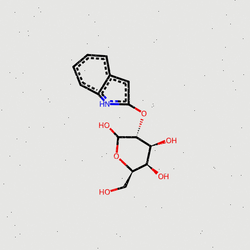 OC[C@H]1OC(O)[C@H](Oc2cc3ccccc3[nH]2)[C@@H](O)[C@H]1O